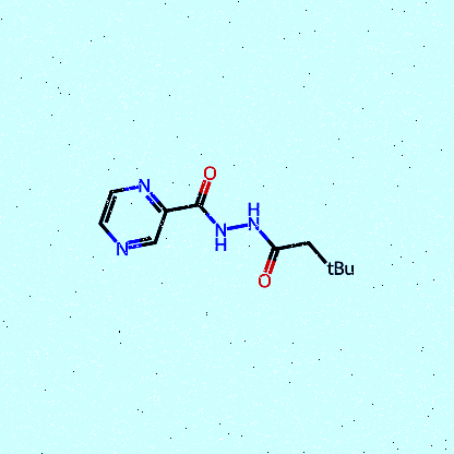 CC(C)(C)CC(=O)NNC(=O)c1cnccn1